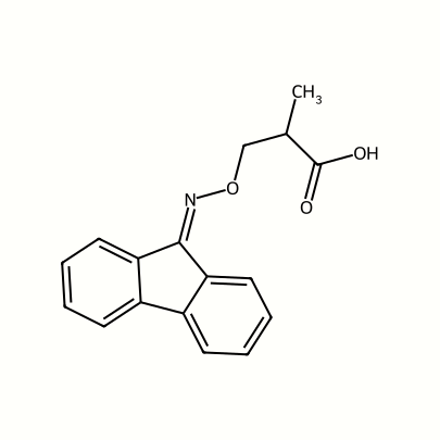 CC(CON=C1c2ccccc2-c2ccccc21)C(=O)O